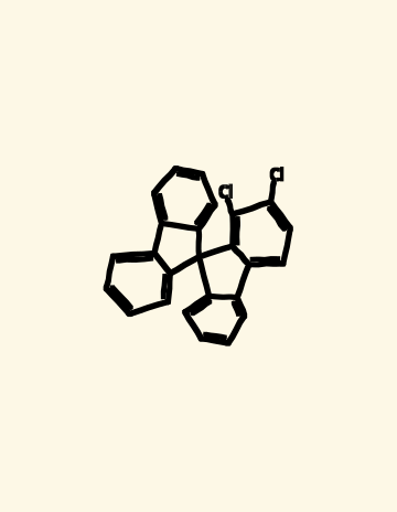 Clc1ccc2c(c1Cl)C1(c3ccccc3-c3ccccc31)c1ccccc1-2